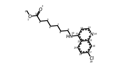 COC(=O)CCCCCCNc1ccnc2cc(Cl)ccc12